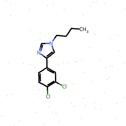 CCCCn1cnc(-c2ccc(Cl)c(Cl)c2)c1